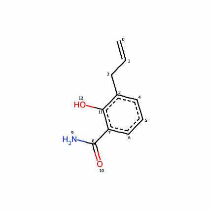 C=CCc1cccc(C(N)=O)c1O